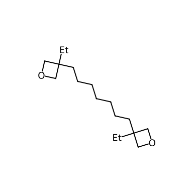 CCC1(CCCCCCCC2(CC)COC2)COC1